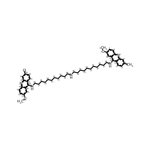 COc1ccc2nc3cc(C)ccc3c(NCCCCCCCCCCCNCCCCCCCCCCCNc3c4ccc(Cl)cc4nc4ccc(OC)cc34)c2c1